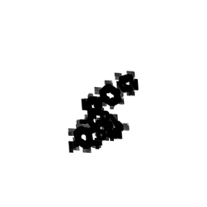 C[C@@H](n1ncn(-c2ccc(-n3ccnc3)cc2)c1=O)[C@](O)(Cn1cncn1)c1ccc(F)cc1F